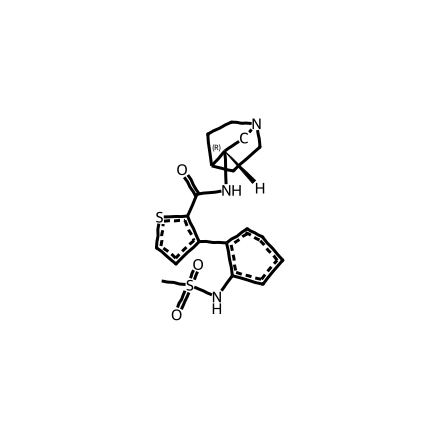 CS(=O)(=O)Nc1ccccc1-c1ccsc1C(=O)N[C@H]1CN2CCC1CC2